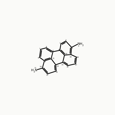 Nc1ccc2c3cccc4c(N)ccc(c5cccc1c52)c43